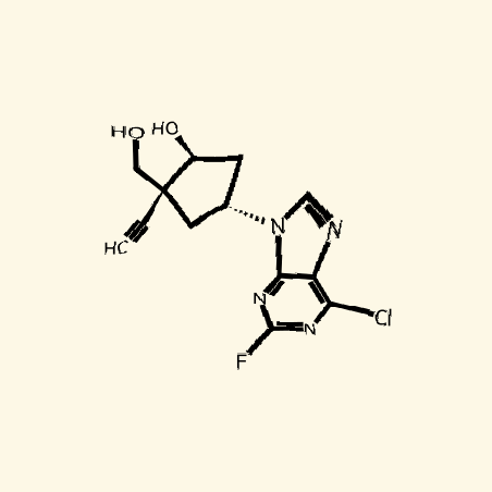 C#C[C@]1(CO)C[C@@H](n2cnc3c(Cl)nc(F)nc32)C[C@@H]1O